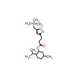 CC1CCC(C(C)C)C(OC(=O)CCc2cc(C[N+](C)(C)C)on2)C1